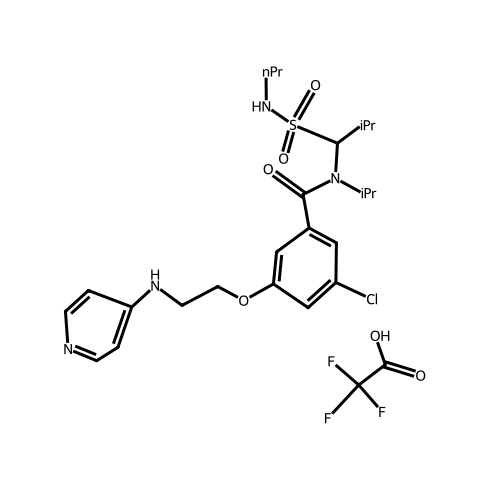 CCCNS(=O)(=O)C(C(C)C)N(C(=O)c1cc(Cl)cc(OCCNc2ccncc2)c1)C(C)C.O=C(O)C(F)(F)F